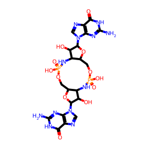 Nc1nc2c(ncn2C2OC3COP(=O)(O)NC4C(COP(=O)(O)NC3C2O)OC(n2cnc3c(=O)[nH]c(N)nc32)C4O)c(=O)[nH]1